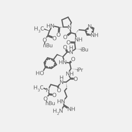 CCCCOC(=O)[C@@H](C)NC(=O)[C@@H]1CCCN1C(=O)[C@H](Cc1c[nH]cn1)NC(=O)[C@@H](NC(=O)[C@H](Cc1ccc(O)cc1)NC(=O)[C@@H](NC(=O)[C@H](CCCNC(=N)N)NC(=O)CN(C)C(=O)OCCCC)C(C)C)C(C)CC